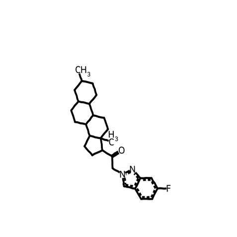 CC1CCC2C(CCC3C2CCC2(C)C(C(=O)Cn4cc5ccc(F)cc5n4)CCC32)C1